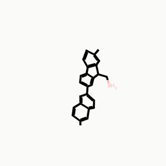 BCC1c2cc(C)ccc2-c2ccc(-c3ccc4cc(C)ccc4c3)cc21